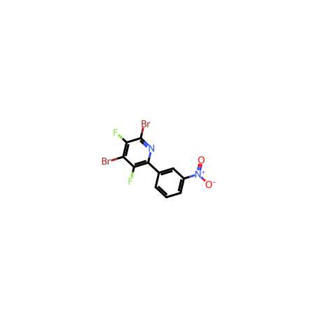 O=[N+]([O-])c1cccc(-c2nc(Br)c(F)c(Br)c2F)c1